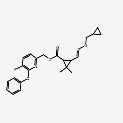 CC1(C)C(C=NOCC2CC2)C1C(=O)OCc1ccc(F)c(Oc2ccccc2)n1